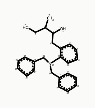 CC(CO)C(O)Cc1ccccc1N(Cc1ccccc1)Cc1ccccc1